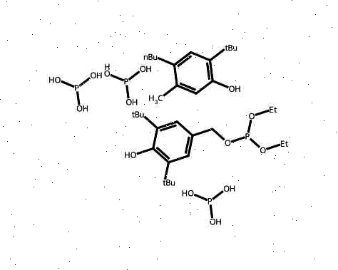 CCCCc1cc(C(C)(C)C)c(O)cc1C.CCOP(OCC)OCc1cc(C(C)(C)C)c(O)c(C(C)(C)C)c1.OP(O)O.OP(O)O.OP(O)O